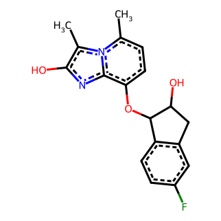 Cc1ccc(OC2c3ccc(F)cc3CC2O)c2nc(O)c(C)n12